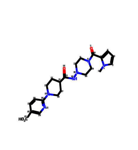 Cn1cccc1C(=O)N1CCN(NC(=O)C2CCN(c3ccc(C(=O)O)cn3)CC2)CC1